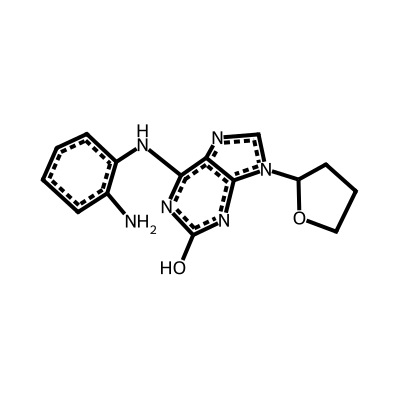 Nc1ccccc1Nc1nc(O)nc2c1ncn2C1CCCO1